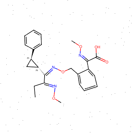 CCC(=NOC)C(=NOCc1ccccc1C(=NOC)C(=O)O)[C@@H]1C[C@H]1c1ccccc1